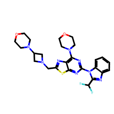 FC(F)c1nc2ccccc2n1-c1nc(N2CCOCC2)c2nc(CN3CC(N4CCOCC4)C3)sc2n1